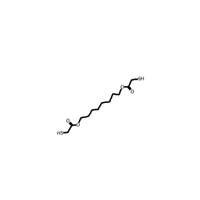 O=C(CS)OCCCCCCCCOC(=O)CS